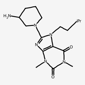 CC(C)CCn1c(N2CCCC(N)C2)nc2c1c(=O)n(C)c(=O)n2C